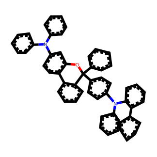 c1ccc(-c2ccccc2N(c2ccccc2)c2ccc(C3(c4ccccc4)Oc4cc(N(c5ccccc5)c5ccccc5)ccc4-c4ccccc43)cc2)cc1